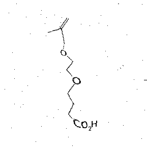 C=C(C)COCCOCCCC(=O)O